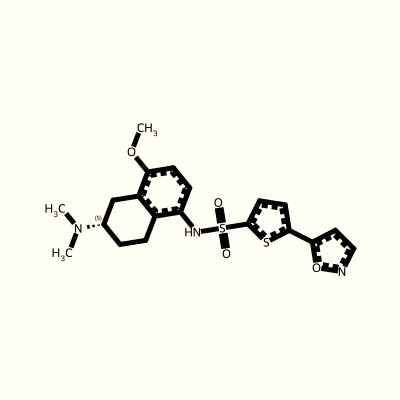 COc1ccc(NS(=O)(=O)c2ccc(-c3ccno3)s2)c2c1C[C@@H](N(C)C)CC2